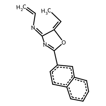 C=C/N=C1/N=C(c2ccc3ccccc3c2)O/C1=C/C